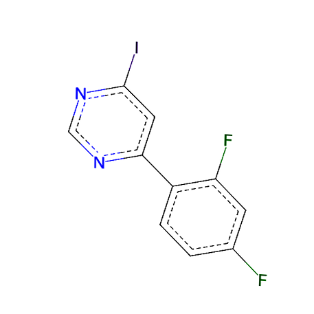 Fc1ccc(-c2cc(I)ncn2)c(F)c1